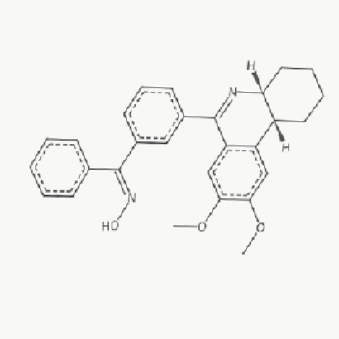 COc1cc2c(cc1OC)[C@H]1CCCC[C@H]1N=C2c1cccc(C(=NO)c2ccccc2)c1